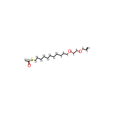 C=CCOCCOCCCCCCCCCCCSC(C)=O